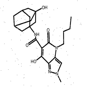 CCCCn1c(=O)c(C(=O)NC23CC4CC(CC(O)(C4)C2)C3)c(O)c2nn(C)cc21